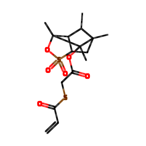 C=CC(=O)SCC(=O)OC1(C)C2(C)CC3C(C2C)C1(C)OS3(=O)=O